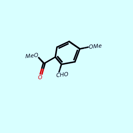 COC(=O)c1ccc(OC)cc1C=O